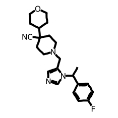 CC(c1ccc(F)cc1)n1cncc1CN1CCC(C#N)(C2CCOCC2)CC1